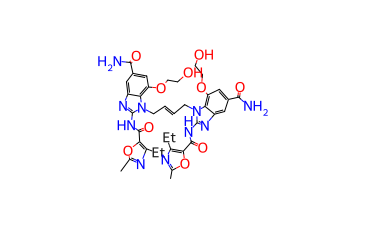 CCc1nc(C)oc1C(=O)Nc1nc2cc(C(N)=O)cc(OCCO)c2n1C/C=C/Cn1c(NC(=O)c2oc(C)nc2CC)nc2cc(C(N)=O)cc(OCCO)c21